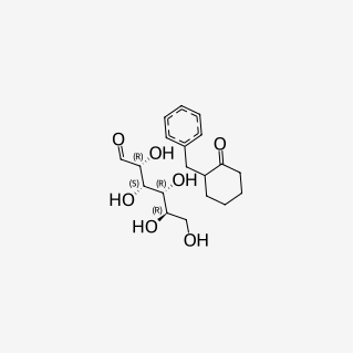 O=C1CCCCC1Cc1ccccc1.O=C[C@H](O)[C@@H](O)[C@H](O)[C@H](O)CO